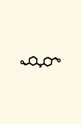 O=CC1CCC(SC2CCCC(C=O)C2)CC1